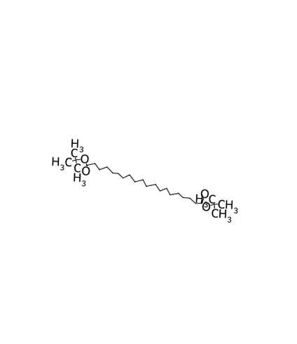 CC(C)(C)OC(=O)CCCCCCCCCCCCCCCCCCC(=O)OC(C)(C)C